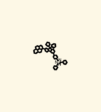 c1ccc(-c2nc(-c3ccccc3)nc(-c3ccc(-c4ccc5c(c4)-c4ccc(-c6ccc7ccc8cccc9ccc6c7c89)cc4C5(c4ccccc4)c4ccccc4)cc3)n2)cc1